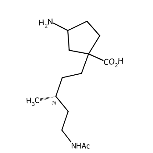 CC(=O)NCC[C@H](C)CCC1(C(=O)O)CCC(N)C1